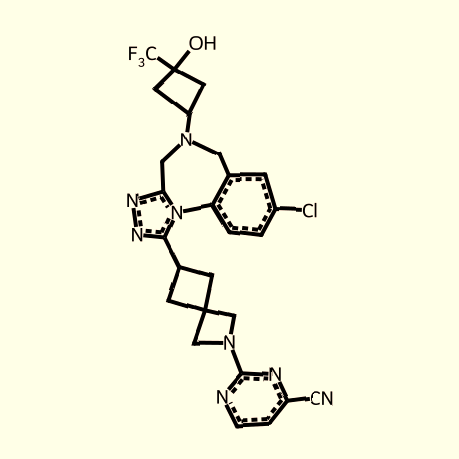 N#Cc1ccnc(N2CC3(CC(c4nnc5n4-c4ccc(Cl)cc4CN(C4CC(O)(C(F)(F)F)C4)C5)C3)C2)n1